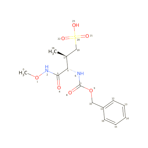 CONC(=O)[C@@H](NC(=O)OCc1ccccc1)[C@@H](C)CS(=O)(=O)O